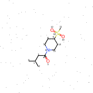 CC(C)CC(=O)N1CCC(S(C)(=O)=O)CC1